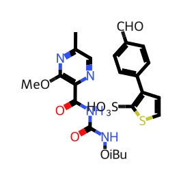 COc1nc(C)cnc1C(=O)NC(=O)NOCC(C)C.O=Cc1ccc(-c2ccsc2S(=O)(=O)O)cc1